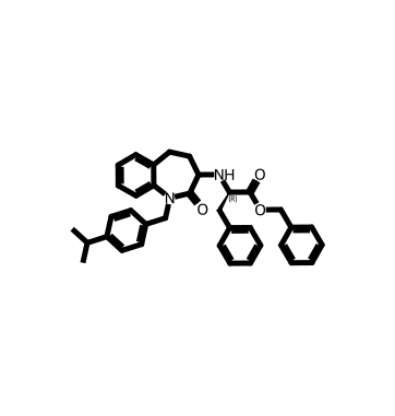 CC(C)c1ccc(CN2C(=O)C(N[C@H](Cc3ccccc3)C(=O)OCc3ccccc3)CCc3ccccc32)cc1